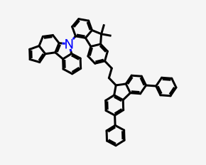 CC1(C)c2cc(CCC3c4ccc(-c5ccccc5)cc4-c4cc(-c5ccccc5)ccc43)ccc2-c2c(-n3c4c(c5ccccc53)C3=CC=CC3C=C4)cccc21